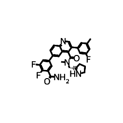 Cc1cc(F)cc(-c2cnc3ccc(-c4cc(F)c(F)c(C(N)=O)c4)cc3c2C(=O)N(C)C[C@@H]2CCCN2)c1